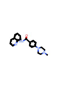 CN1CCN(c2ccc(C(=O)Nc3cccc4cccnc34)cc2)CC1